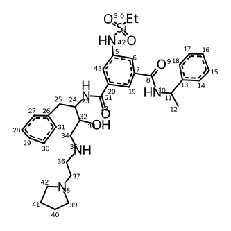 CCS(=O)(=O)Nc1cc(C(=O)NC(C)c2ccccc2)cc(C(=O)NC(Cc2ccccc2)C(O)CNCCN2CCCC2)c1